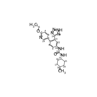 CCOc1ccc(-c2ccc(NC(=O)N[C@H]3CC[C@H](C)CC3)cc2-c2nn[nH]n2)cn1